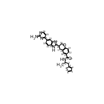 CC(Cc1cccs1)NC(=O)c1ccc2c(c1)CC(c1nc3cc(-c4ccnc(N)n4)ccc3[nH]1)CO2